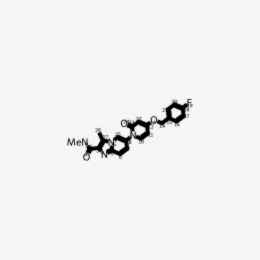 CNC(=O)c1nc2ccc(-n3ccc(OCc4ccc(F)cc4)cc3=O)cn2c1C